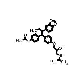 CC/C(=C(/c1ccc(OCC(O)CNC(C)C)cc1)c1ccc(OC(C)=O)cc1)c1ccc2c(c1)OCO2